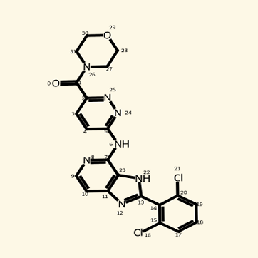 O=C(c1ccc(Nc2nccc3nc(-c4c(Cl)cccc4Cl)[nH]c23)nn1)N1CCOCC1